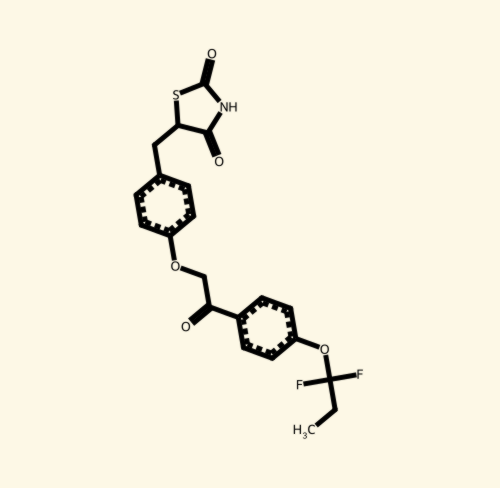 CCC(F)(F)Oc1ccc(C(=O)COc2ccc(CC3SC(=O)NC3=O)cc2)cc1